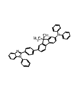 CC1(C)c2cc(-c3ccc(-c4nc5ccccc5n4-c4ccccc4)cc3)ccc2-c2ccc(N(c3ccccc3)c3ccccc3)cc21